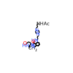 C=C1NC(=O)CCC1n1ncc2cccc(NCCCN3CCN(CCCNC(C)=O)CC3)c2c1=O